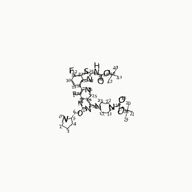 CN1CCCC1COc1nc(N2CCN(C(=O)OC(C)(C)C)CC2)c2cnc(-c3ccc(F)c4sc(NC(=O)OC(C)(C)C)nc34)c(F)c2n1